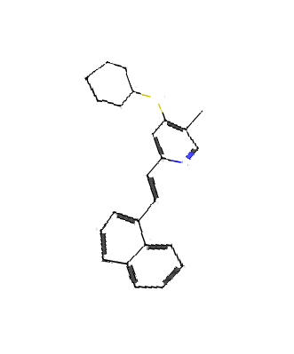 Cc1cnc(C=Cc2cccc3ccccc23)cc1SC1CCCCC1